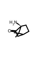 CC1(C)C2CC[C@@]1(N)C(=O)C2